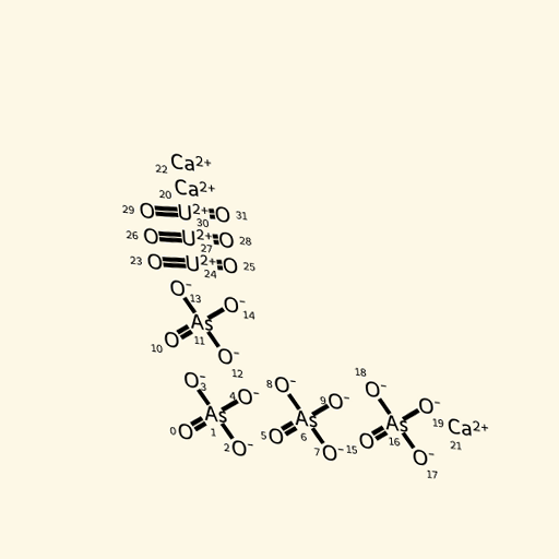 O=[As]([O-])([O-])[O-].O=[As]([O-])([O-])[O-].O=[As]([O-])([O-])[O-].O=[As]([O-])([O-])[O-].[Ca+2].[Ca+2].[Ca+2].[O]=[U+2]=[O].[O]=[U+2]=[O].[O]=[U+2]=[O]